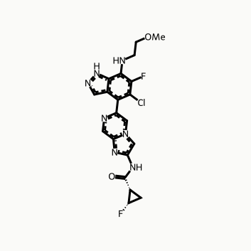 COCCNc1c(F)c(Cl)c(-c2cn3cc(NC(=O)[C@@H]4C[C@@H]4F)nc3cn2)c2cn[nH]c12